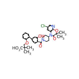 CC(C)(COc1ccccc1-c1ccc(C(=O)N2CCC(N3C(=O)C(C)(C)Oc4ncc(Cl)cc43)CC2)c(O)c1)C(=O)O